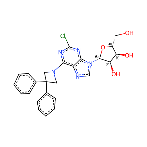 OC[C@H]1O[C@@H](n2cnc3c(N4CC(c5ccccc5)(c5ccccc5)C4)nc(Cl)nc32)[C@H](O)[C@@H]1O